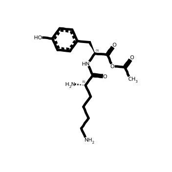 CC(=O)OC(=O)[C@H](Cc1ccc(O)cc1)NC(=O)[C@@H](N)CCCCN